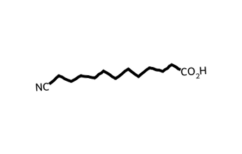 N#CCCCCCCCCCCCC(=O)O